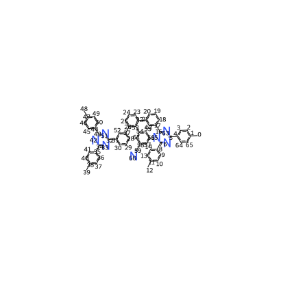 Cc1ccc(-c2nc(-c3ccc(C)cc3)nc(-c3cccc(-c4cccc(-c5cccc(-c6nc(-c7ccc(C)cc7)nc(-c7ccc(C)cc7)n6)c5)c4-c4cccc(C#N)c4)c3)n2)cc1